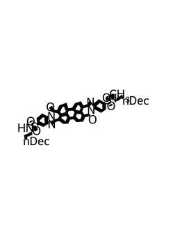 CCCCCCCCCCCCNS(=O)(=O)c1ccc2c(c1)nc1c3ccc4c5ccc6c(=O)n7c8ccc(S(=O)(=O)N(C)CCCCCCCCCCCC)cc8nc7c7ccc(c8ccc(c(=O)n21)c3c48)c5c67